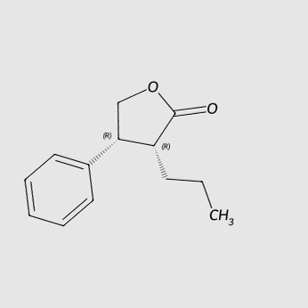 CCC[C@H]1C(=O)OC[C@H]1c1ccccc1